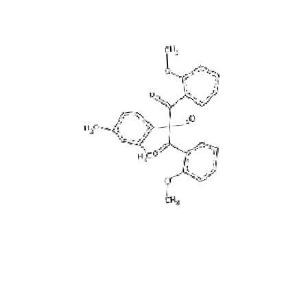 COc1ccccc1C(=O)C(C=O)(C(=O)c1ccccc1OC)c1ccc(C)cc1C